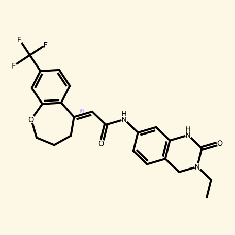 CCN1Cc2ccc(NC(=O)/C=C3\CCCOc4cc(C(F)(F)F)ccc43)cc2NC1=O